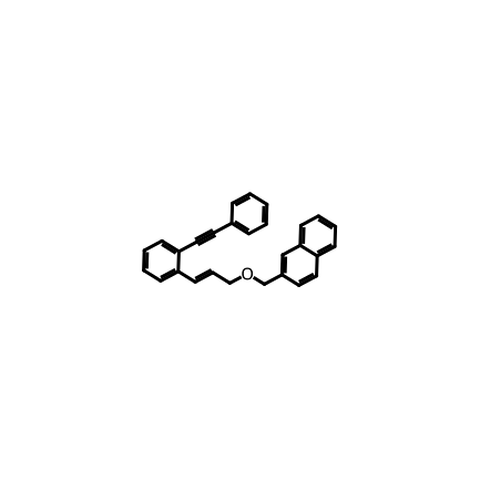 C(#Cc1ccccc1C=CCOCc1ccc2ccccc2c1)c1ccccc1